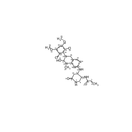 C=CC(=O)NC1CNC(=O)CC1Nc1ncc2c(n1)N(C)C(O)N(c1c(Cl)c(OC)cc(OC)c1Cl)C2